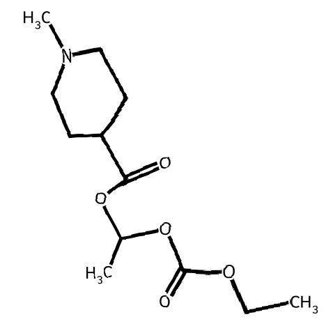 CCOC(=O)OC(C)OC(=O)C1CCN(C)CC1